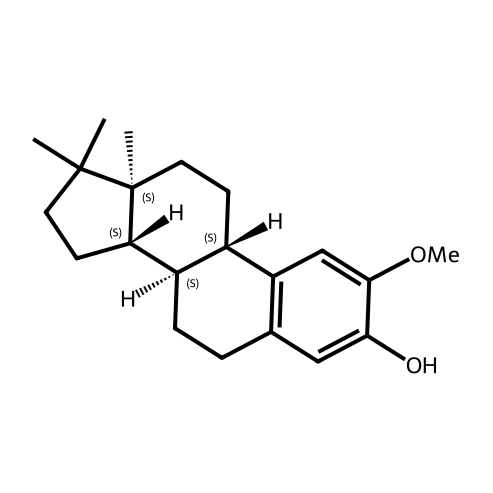 COc1cc2c(cc1O)CC[C@@H]1[C@@H]2CC[C@@]2(C)[C@H]1CCC2(C)C